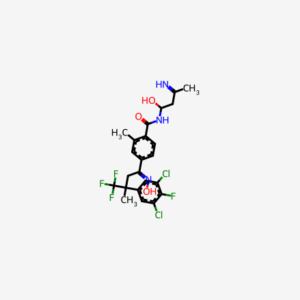 CC(=N)CC(O)NC(=O)c1ccc(/C(CC(C)(c2cc(Cl)c(F)c(Cl)c2)C(F)(F)F)=N/O)cc1C